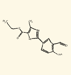 CCOC(=O)c1[se]c(-c2ccc(O)c(C=O)c2)nc1C